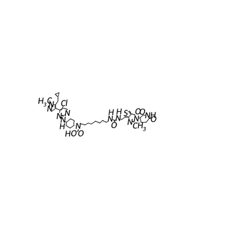 Cc1nc2c(CNC(=O)NCCCCCCCCN(C(=O)O)[C@H]3CC[C@H](Nc4ncc(Cl)c(-c5cnn(C)c5CC5CC5)n4)CC3)scc2c(=O)n1C1CCC(=O)NC1=O